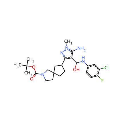 Cn1nc(C2CCC3(CCN(C(=O)OC(C)(C)C)C3)C2)c(C(O)Nc2ccc(F)c(Cl)c2)c1N